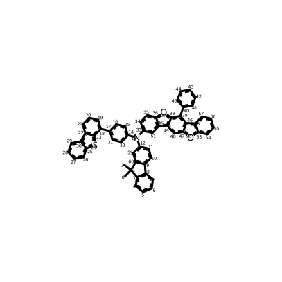 CC1(C)c2ccccc2-c2ccc(N(c3ccc(-c4cccc5c4sc4ccccc45)cc3)c3ccc4oc5c(-c6ccccc6)c6c(cc5c4c3)oc3ccccc36)cc21